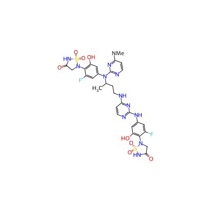 CNc1ccnc(N(c2cc(O)c(N3CC(=O)NS3(=O)=O)c(F)c2)C(C)CCNc2ccnc(Nc3cc(O)c(N4CC(=O)NS4(=O)=O)c(F)c3)n2)n1